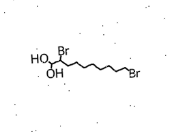 OC(O)C(Br)CCCCCCCCBr